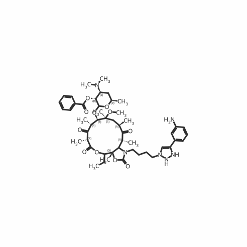 CCC1OC(=O)[C@H](C)C(=O)[C@H](C)[C@@H](OC2O[C@H](C)C[C@H](N(C)C)[C@H]2OC(=O)c2ccccc2)[C@@](C)(OC)C[C@@H](C)C(=O)[C@H](C)C2N(CCCCN3C=C(c4cccc(N)c4)NN3)C(=O)O[C@]12C